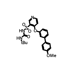 COc1ccc(-c2cccc(Oc3ccncc3S(=O)(=O)NC(=O)NC(C)(C)C)c2)cc1